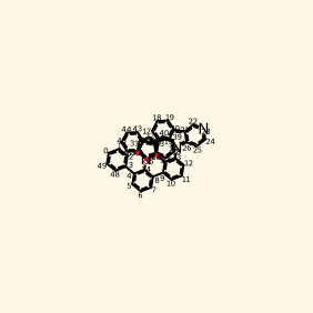 c1ccc(-c2cccc(-c3cccc(-n4c5ccccc5c5cnccc54)c3-c3ccccc3)c2-n2c3ccccc3c3ccccc32)cc1